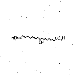 CCCCCCCCCCCCCCCCCC(O)CCCCCCCCC(=O)O